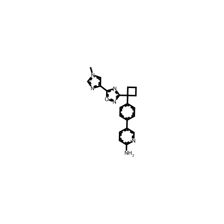 Cn1cnc(-c2nc(C3(c4ccc(-c5ccc(N)nc5)cc4)CCC3)no2)c1